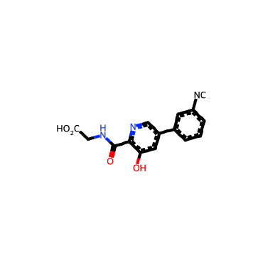 [C-]#[N+]c1cccc(-c2cnc(C(=O)NCC(=O)O)c(O)c2)c1